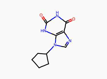 O=c1[nH]c(=O)c2ncn(C3CCCC3)c2[nH]1